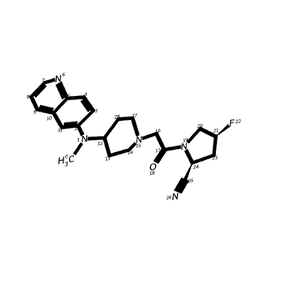 CN(c1ccc2ncccc2c1)C1CCN(CC(=O)N2C[C@@H](F)C[C@H]2C#N)CC1